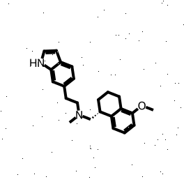 COc1cccc2c1CCC[C@H]2CN(C)CCc1ccc2cc[nH]c2c1